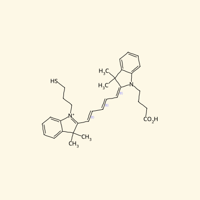 CC1(C)C(/C=C/C=C/C=C2/N(CCCC(=O)O)c3ccccc3C2(C)C)=[N+](CCCS)c2ccccc21